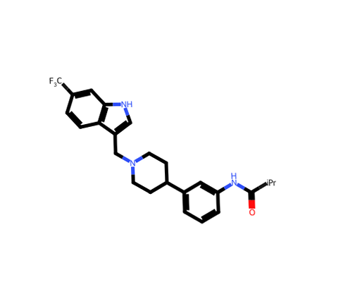 CC(C)C(=O)Nc1cccc(C2CCN(Cc3c[nH]c4cc(C(F)(F)F)ccc34)CC2)c1